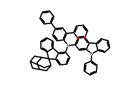 c1ccc(-c2ccc(N(c3ccc4c5ccccc5n(-c5ccccc5)c4c3)c3cccc4c3-c3ccccc3C43C4CC5CC(C4)CC3C5)c(-c3ccccc3)c2)cc1